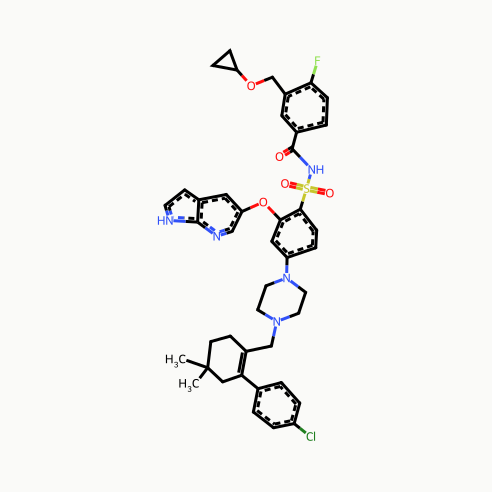 CC1(C)CCC(CN2CCN(c3ccc(S(=O)(=O)NC(=O)c4ccc(F)c(COC5CC5)c4)c(Oc4cnc5[nH]ccc5c4)c3)CC2)=C(c2ccc(Cl)cc2)C1